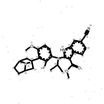 COC(=O)c1c(N(c2ccc(OC)c(C3CC4CCC(C3)N4C)c2F)C(C)C)[nH]c2cc(C#N)ccc12